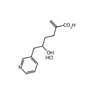 C=C(CCC(O)Cc1cccnc1)C(=O)O.Cl